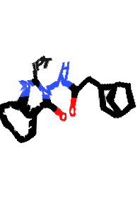 CC(C)c1nc2ccccc2c(=O)n1NC(=O)CC1CC2C=CC1C2